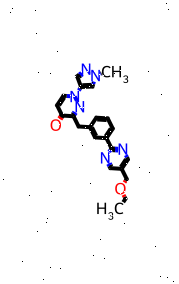 CCOCc1cnc(-c2cccc(Cc3nn(-c4cnn(C)c4)ccc3=O)c2)nc1